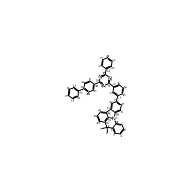 CC1(C)c2ccccc2-n2c3ccc(-c4cccc(-c5nc(-c6ccccc6)nc(-c6ccc(-c7ccccc7)cc6)n5)c4)cc3c3cccc1c32